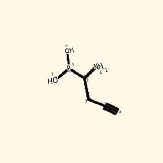 C#CCC(N)B(O)O